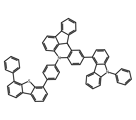 CC12c3ccccc3-c3cccc(c31)N(c1ccc(-c3cccc4c3sc3c(-c5ccccc5)cccc34)cc1)c1ccc(-c3cccc4c3c3ccccc3n4-c3ccccc3)cc12